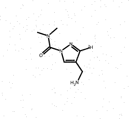 [2H]c1nn(C(=O)N(C)C)cc1CN